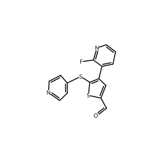 O=Cc1cc(-c2cccnc2F)c(Sc2ccncc2)s1